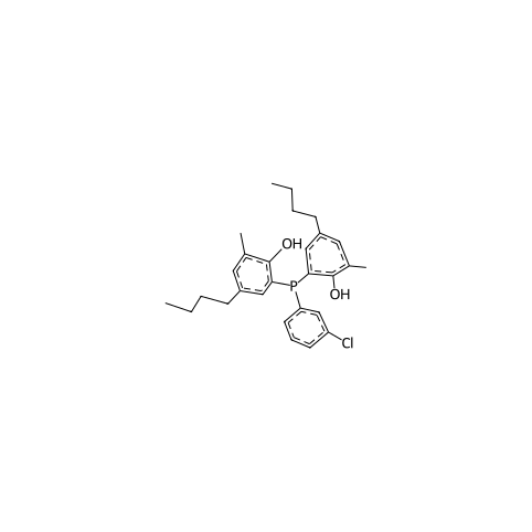 CCCCc1cc(C)c(O)c(P(c2cccc(Cl)c2)c2cc(CCCC)cc(C)c2O)c1